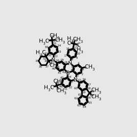 Cc1cc2c3c(c1)N(c1ccc(C(C)(C)C)cc1)c1cc(N4c5ccc(C(C)(C)C)cc5C5(C)CCCCC45C)ccc1B3c1cc(C(C)(C)C)ccc1N2c1ccc2c(c1)-c1ccccc1C2(C)C